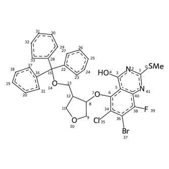 CSc1nc(O)c2c(OC3COCC3COC(c3ccccc3)(c3ccccc3)c3ccccc3)c(Cl)c(Br)c(F)c2n1